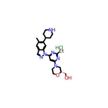 CCc1nc(N2CCO[C@@H](CO)C2)cc(-n2ncc3cc(C)c(C4CCNCC4)cc32)n1.Cl